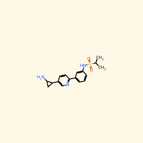 CC(C)S(=O)(=O)Nc1cccc(-c2ccc(C3CC3N)cn2)c1